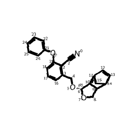 N#Cc1c(CO[C@H]2OCC3C2=C2C=CC3C2)cccc1Oc1ccccc1